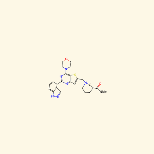 CNC(=O)[C@H]1CCCN(Cc2cc3nc(-c4cccc5[nH]ncc45)nc(N4CCOCC4)c3s2)C1